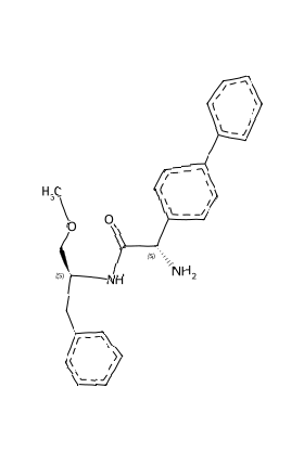 COC[C@H](Cc1ccccc1)NC(=O)[C@@H](N)c1ccc(-c2ccccc2)cc1